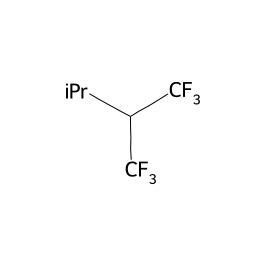 CC(C)C(C(F)(F)F)C(F)(F)F